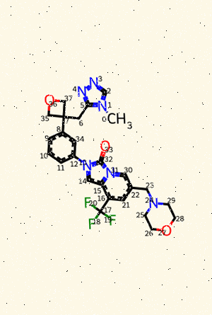 Cn1cnnc1CC1(c2cccc(-n3cc4c(C(F)(F)F)cc(CN5CCOCC5)cn4c3=O)c2)COC1